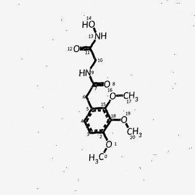 COc1ccc(CC(=O)NCC(=O)NO)c(OC)c1OC